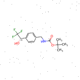 CC(C)(C)OC(=O)NCc1ccc([C@H](O)C(F)(F)F)cc1